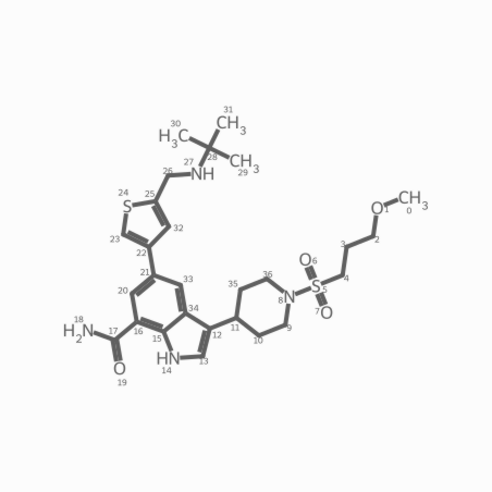 COCCCS(=O)(=O)N1CCC(c2c[nH]c3c(C(N)=O)cc(-c4csc(CNC(C)(C)C)c4)cc23)CC1